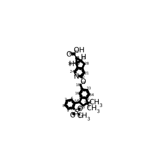 CC1(C)CC(c2ccccc2S(C)(=O)=O)c2cc(COc3cc4c(cn3)[C@H]3[C@@H](C4)[C@@H]3C(=O)O)ccc21